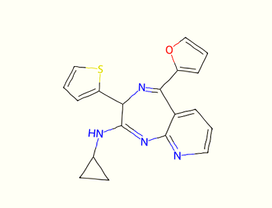 c1coc(C2=NC(c3cccs3)C(NC3CC3)=Nc3ncccc32)c1